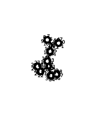 c1ccc(N(c2ccccc2)c2ccc(-c3ccc4c(-c5cccc6ccccc56)c(-c5cccc6ccccc56)sc4c3)cc2)cc1